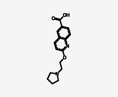 O=C(O)c1ccc2nc(OCCN3CCCC3)ccc2c1